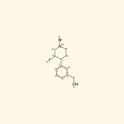 OCc1cccc(C2CCN(Br)CC2F)c1